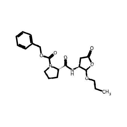 CCCOC1OC(=O)C[C@@H]1NC(=O)[C@@H]1CCCN1C(=O)OCc1ccccc1